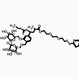 CCSC(=S)SC(CC(C)C(=O)OCCOCCOCCSSc1ccccn1)c1ccc(COC[C@H]2O[C@H](O[C@H]3O[C@H](CO)[C@@H](O)[C@H](O)[C@H]3O)[C@H](O)[C@@H](O)[C@@H]2O)cc1